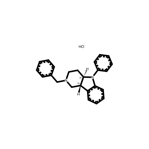 Cl.c1ccc(CN2CC[C@@H]3[C@@H](C2)c2ccccc2N3c2ccccc2)cc1